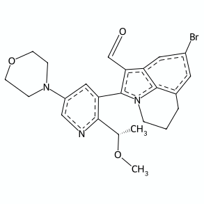 CO[C@@H](C)c1ncc(N2CCOCC2)cc1-c1c(C=O)c2cc(Br)cc3c2n1CCC3